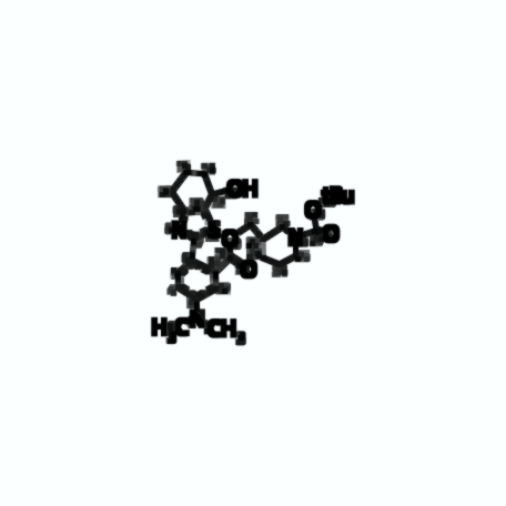 CN(C)c1ccc(-c2nc3c(s2)C(O)CCC3)c(C(=O)OCC2CCCN(C(=O)OC(C)(C)C)C2)c1